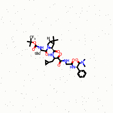 CN(C)C(=O)[C@@H](NC(=O)CNC(=O)C(=O)C(CC1CC1)NC(=O)[C@@H]1C2[C@H](CN1C(=O)[C@@H](NC(=O)OC(C)(C)C(F)(F)F)C(C)(C)C)C2(C)C)c1ccccc1